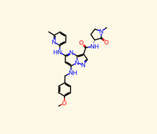 COc1ccc(CNc2cc(Nc3cccc(C)n3)nc3c(C(=O)N[C@@H]4CCN(C)C4=O)cnn23)cc1